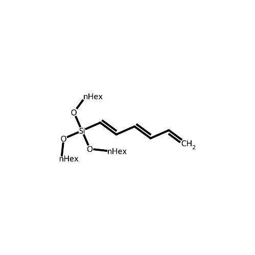 C=CC=CC=C[Si](OCCCCCC)(OCCCCCC)OCCCCCC